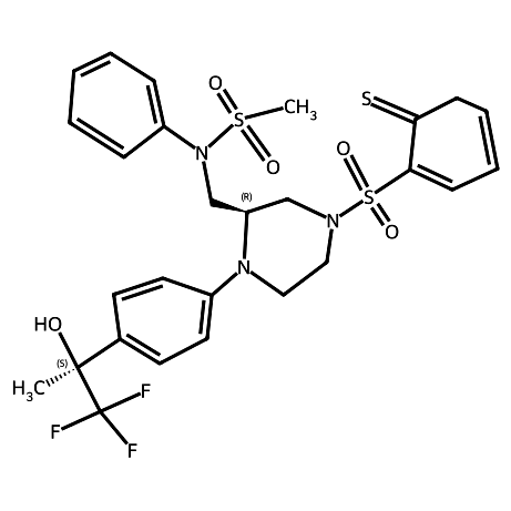 C[C@](O)(c1ccc(N2CCN(S(=O)(=O)C3=CC=CCC3=S)C[C@@H]2CN(c2ccccc2)S(C)(=O)=O)cc1)C(F)(F)F